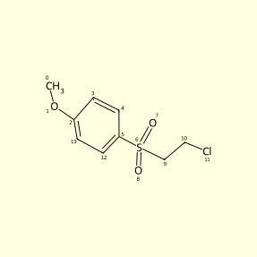 COc1[c]cc(S(=O)(=O)CCCl)cc1